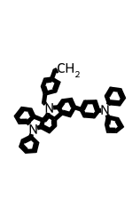 C=Cc1ccc(Cn2c3ccc(-c4ccc(N(c5ccccc5)c5ccccc5)cc4)cc3c3ccc4c(c5ccccc5n4-c4ccccc4)c32)cc1